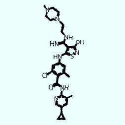 Cc1cc(C2CC2)cnc1NC(=O)c1c(C)cc(Nc2snc(O)c2C(=N)NCCN2CCN(C)CC2)cc1Cl